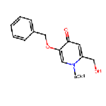 CCCCCCCCn1cc(OCc2ccccc2)c(=O)cc1CO